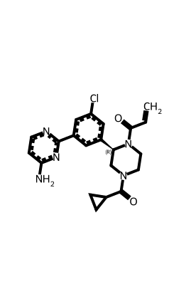 C=CC(=O)N1CCN(C(=O)C2CC2)C[C@H]1c1cc(Cl)cc(-c2nccc(N)n2)c1